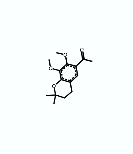 COc1c(C(C)=O)cc2c(c1OC)OC(C)(C)CC2